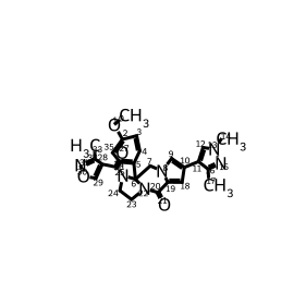 COc1ccc(C23Cn4cc(-c5cn(C)nc5C)cc4C(=O)N2CCN3C(=O)c2conc2C)cc1